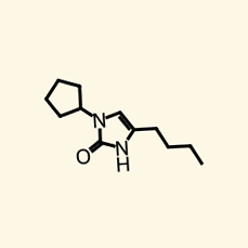 CCCCc1cn(C2CCCC2)c(=O)[nH]1